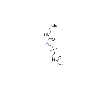 C=CC(=O)N(C)CCC(C)(C)C/C=C\C(=O)NCCC(C)(C)C